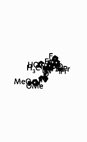 CCc1c(F)ccc2cc(O[Si](C(C)C)(C(C)C)C(C)C)cc(-c3ncc4c(N5CCC[C@@](C)(O)C5)nc(OC[C@@]56CCCN5[C@H](CN5CCC(C(OC)OC)CC5)CC6)nc4c3F)c12